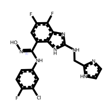 O/N=C(/Nc1ccc(F)c(Cl)c1)c1cc(F)c(F)c2nc(NCc3ncc[nH]3)[nH]c12